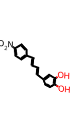 O=[N+]([O-])c1ccc(/C=C/C=C/c2ccc(O)c(O)c2)cc1